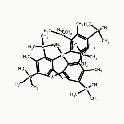 Cc1cc([Si](C)(C)C)c(C)c([Si](C)(C)C)c1[Si](Cl)(c1c(C)cc([Si](C)(C)C)c(C)c1[Si](C)(C)C)c1c(C)cc([Si](C)(C)C)c(C)c1[Si](C)(C)C